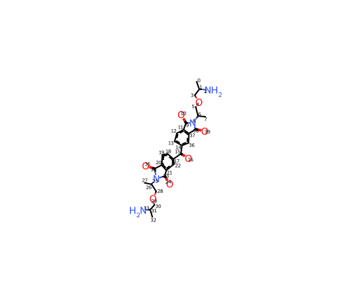 CC(N)COCC(C)N1C(=O)c2ccc(C(=O)c3ccc4c(c3)C(=O)N(C(C)COCC(C)N)C4=O)cc2C1=O